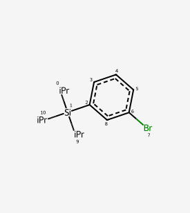 CC(C)[Si](c1cccc(Br)c1)(C(C)C)C(C)C